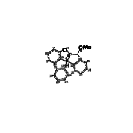 COCP(Cl)[PH](c1ccccc1)(c1ccccc1)c1ccccc1